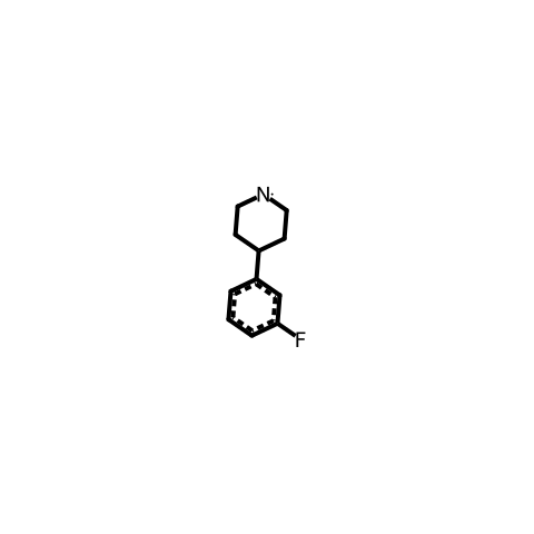 Fc1cccc(C2CC[N]CC2)c1